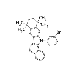 CC1(C)CCC(C)(C)c2cc3c(cc21)c1ccc2ccccc2c1n3-c1cccc(Br)c1